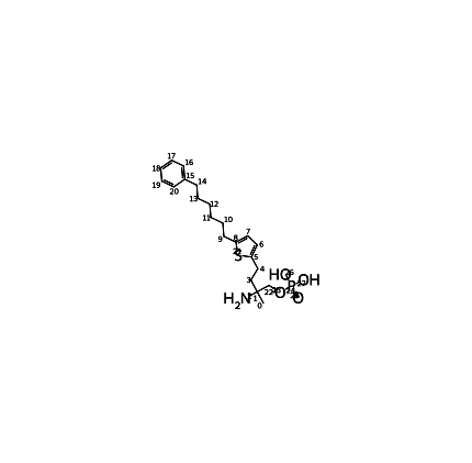 CC(N)(CCc1ccc(CCCCCCc2ccccc2)s1)COP(=O)(O)O